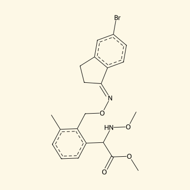 CONC(C(=O)OC)c1cccc(C)c1CO/N=C1\CCc2cc(Br)ccc21